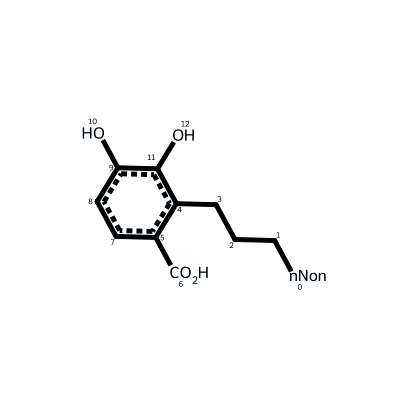 CCCCCCCCCCCCc1c(C(=O)O)ccc(O)c1O